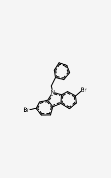 Brc1ccc2c3ccc(Br)cc3n(Cc3ccccc3)c2c1